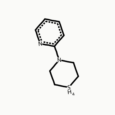 c1ccc(N2CC[SH4]CC2)nc1